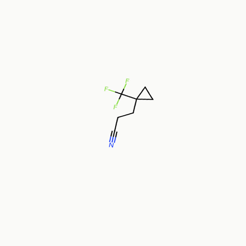 N#CCCC1(C(F)(F)F)CC1